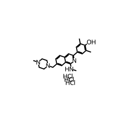 CNc1nc(-c2cc(C)c(O)c(C)c2)cc2ccc(CN3CCN(C)CC3)cc12.Cl.Cl.Cl